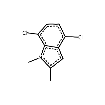 Cc1cc2c(Cl)ccc(Cl)c2n1C